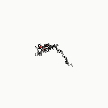 CC[C@]1(O)C[C@H]2CN(CCc3c([nH]c4ccccc34)[C@@](C(=O)OC)(c3cc4c(cc3OC)N(C)[C@H]3[C@@](O)(C(=O)NCCC[Si](C)(C)O[SiH2]CSc5ncc(OCCOCCOCCn6cc(C)nn6)cn5)[C@H](O)[C@]5(CC)C=CCN6CC[C@]43[C@@H]65)C2)C1